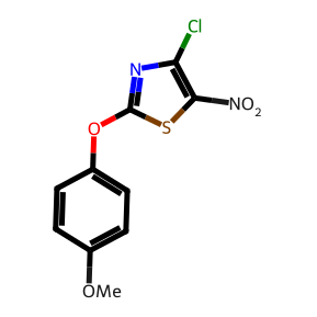 COc1ccc(Oc2nc(Cl)c([N+](=O)[O-])s2)cc1